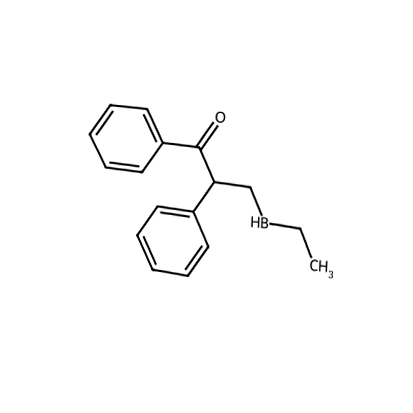 CCBCC(C(=O)c1ccccc1)c1ccccc1